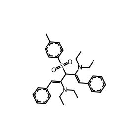 CCN(CC)C(=Cc1ccccc1)C(C(=Cc1ccccc1)N(CC)CC)S(=O)(=O)c1ccc(C)cc1